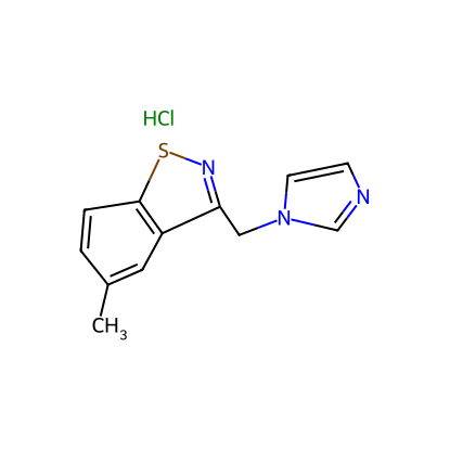 Cc1ccc2snc(Cn3ccnc3)c2c1.Cl